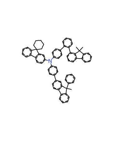 CC1(C)c2ccccc2-c2cccc(-c3ccccc3-c3ccc(N(c4ccc(-c5ccc6c(c5)C(C)(c5ccccc5)c5ccccc5-6)cc4)c4ccc5c(c4)C4(CCCCC4)c4ccccc4-5)cc3)c21